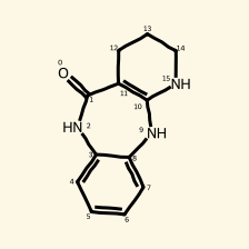 O=C1Nc2ccccc2NC2=C1CCCN2